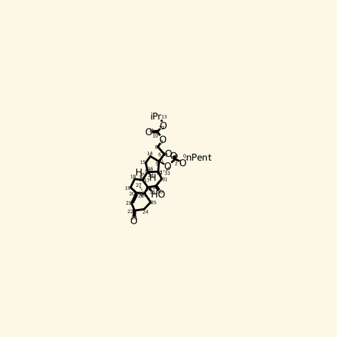 CCCCCOC(=O)O[C@]1(C(=O)COC(=O)OC(C)C)CC[C@H]2[C@@H]3CCC4=CC(=O)CC[C@]4(C)[C@H]3C(=O)C[C@@]21C